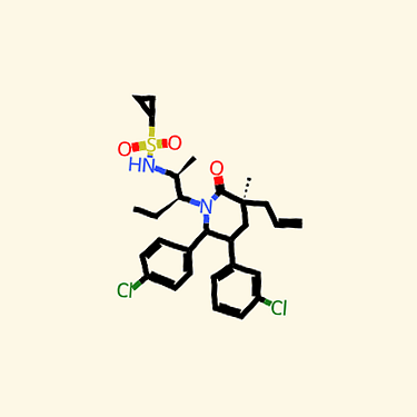 C=CC[C@@]1(C)CC(c2cccc(Cl)c2)C(c2ccc(Cl)cc2)N([C@@H](CC)[C@H](C)NS(=O)(=O)C2CC2)C1=O